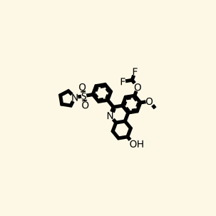 COc1cc2c(cc1OC(F)F)C(c1cccc(S(=O)(=O)N3CCCC3)c1)=NC1CCC(O)CC21